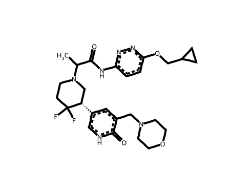 CC(C(=O)Nc1ccc(OCC2CC2)nn1)N1CCC(F)(F)[C@@H](c2c[nH]c(=O)c(CN3CCOCC3)c2)C1